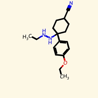 CCNNC1(c2ccc(OCC)cc2)CCC(C#N)CC1